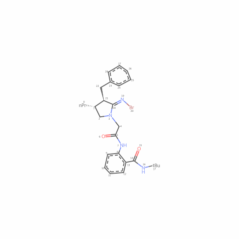 CCC[C@H]1CN(CC(=O)Nc2ccccc2C(=O)NC(C)(C)C)/C(=N\Br)[C@@H]1Cc1ccccc1